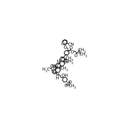 C=C(C)[C@@H]1CC[C@]2(NCC[C@]3(O)CC[C@@H](S(C)(=O)=O)CC3)CC[C@]3(C)[C@H](CC[C@@H]4[C@@]5(C)CC=C(C6=CC[C@@](COc7ncccc7C#N)(C(=O)OCC(=O)N(C)C)CC6)C(C)(C)[C@@H]5CC[C@]43C)[C@@H]12